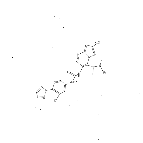 CC(C)N(C)[C@H](C)c1c(NC(=O)Nc2cnc(-n3nccn3)c(Cl)c2)cnc2cc(Cl)nn12